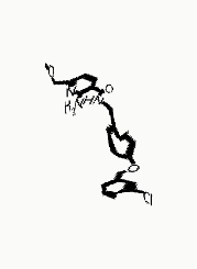 COCc1ccc(C(=O)NCc2ccc(OCc3cccc(Cl)c3)cc2)c(N)n1